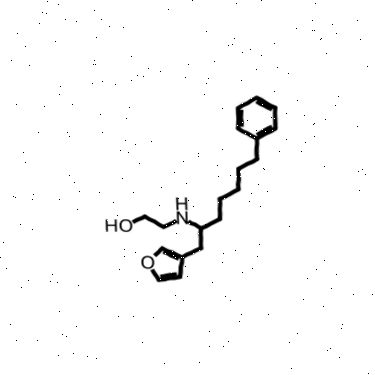 OCCNC(CCCCCc1ccccc1)Cc1ccoc1